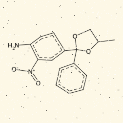 CC1COC(c2ccccc2)(c2ccc(N)c([N+](=O)[O-])c2)O1